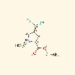 CC(C)(C)COC(=O)C1CC(=C(F)F)CN1C(=O)O